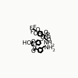 CS(=O)(=O)c1c(C(N)=O)sc2c1CCCC2.NCc1cccc(C(=O)N(CC(=O)O)c2ccccc2)c1.O=C(O)C(F)(F)F